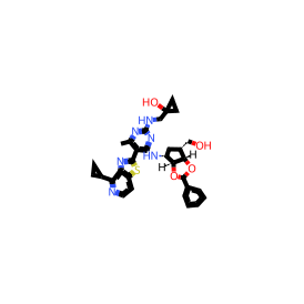 Cc1nc(NCC2(O)CC2)nc(N[C@@H]2C[C@H](CO)[C@H]3OC(c4ccccc4)O[C@H]32)c1-c1nc2c(C3CC3)nccc2s1